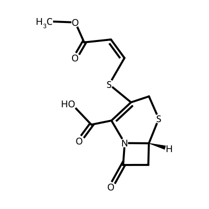 COC(=O)/C=C\SC1=C(C(=O)O)N2C(=O)C[C@H]2SC1